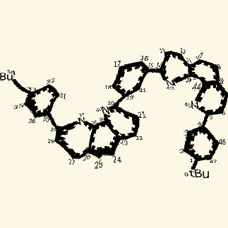 CC(C)(C)c1ccc(-c2ccc3ccc4ccc(-c5cccc(-c6ccc7ccc8ccc(-c9ccc(C(C)(C)C)cc9)nc8c7n6)c5)nc4c3n2)cc1